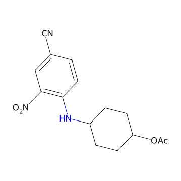 CC(=O)OC1CCC(Nc2ccc(C#N)cc2[N+](=O)[O-])CC1